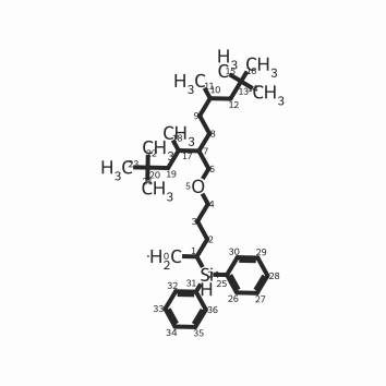 [CH2]C(CCCOCC(CCC(C)CC(C)(C)C)C(C)CC(C)(C)C)[SiH](c1ccccc1)c1ccccc1